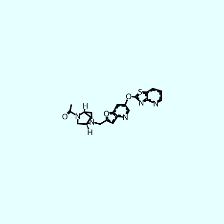 CC(=O)N1C[C@@H]2C[C@H]1CN2Cc1cc2ncc(Oc3nc4ncccc4s3)cc2o1